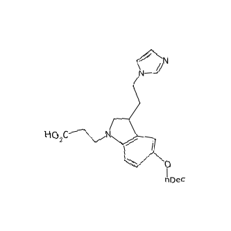 CCCCCCCCCCOc1ccc2c(c1)C(CCn1ccnc1)CN2CCC(=O)O